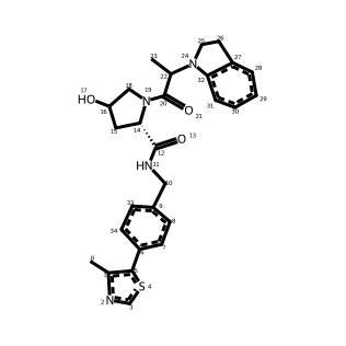 Cc1ncsc1-c1ccc(CNC(=O)[C@@H]2CC(O)CN2C(=O)C(C)N2CCc3ccccc32)cc1